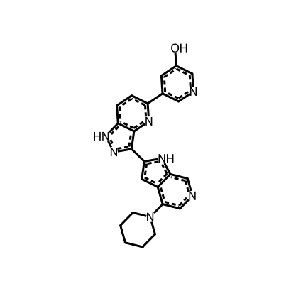 Oc1cncc(-c2ccc3[nH]nc(-c4cc5c(N6CCCCC6)cncc5[nH]4)c3n2)c1